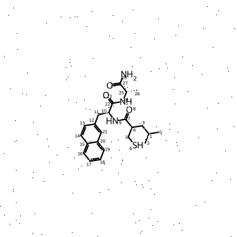 CC(C)CC(CS)C(=O)N[C@@H](Cc1ccc2ccccc2c1)C(=O)N[C@@H](C)C(N)=O